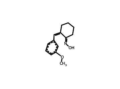 COc1cccc(/C=C2/CCCC/C2=N\O)c1